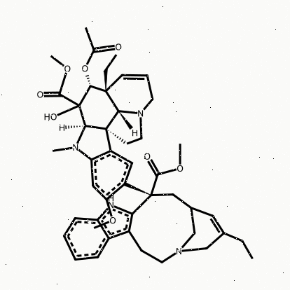 CCC1=CC2CN(CCc3c([nH]c4ccccc34)[C@@](C(=O)OC)(c3cc4c(cc3OC)N(C)[C@H]3C(O)(C(=O)OC)[C@H](OC(C)=O)[C@]5(CC)C=CCN6CC[C@]43[C@@H]65)C2)C1